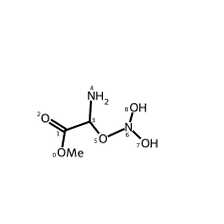 COC(=O)C(N)ON(O)O